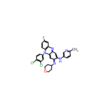 Cc1ccc(Nc2cc3nc4cc(F)ccc4n(-c4ccc(Cl)c(Cl)c4)c-3c/c2=N\C2CCOCC2)cn1